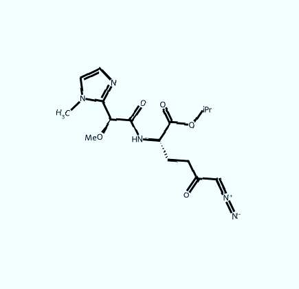 CO[C@H](C(=O)N[C@@H](CCC(=O)C=[N+]=[N-])C(=O)OC(C)C)c1nccn1C